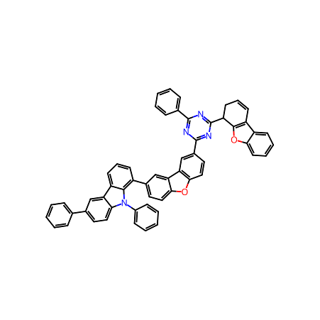 C1=Cc2c(oc3ccccc23)C(c2nc(-c3ccccc3)nc(-c3ccc4oc5ccc(-c6cccc7c8cc(-c9ccccc9)ccc8n(-c8ccccc8)c67)cc5c4c3)n2)C1